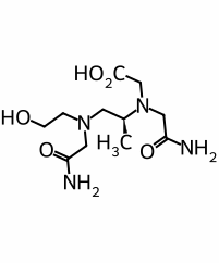 C[C@@H](CN(CCO)CC(N)=O)N(CC(N)=O)CC(=O)O